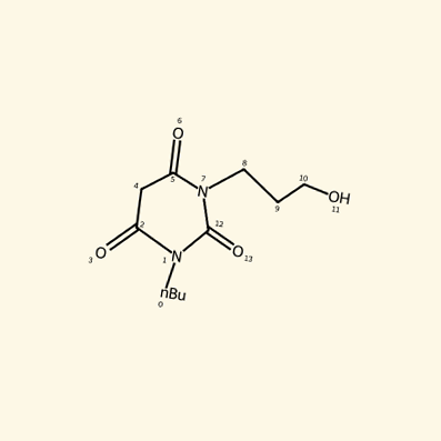 CCCCN1C(=O)CC(=O)N(CCCO)C1=O